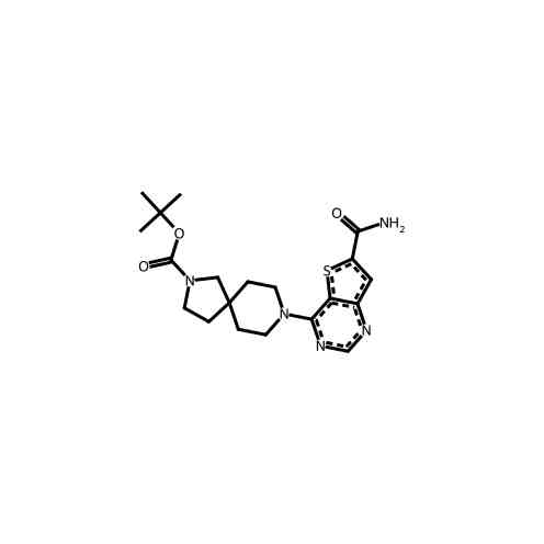 CC(C)(C)OC(=O)N1CCC2(CCN(c3ncnc4cc(C(N)=O)sc34)CC2)C1